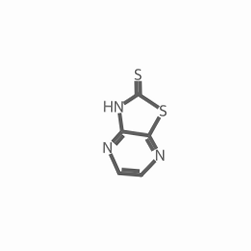 S=c1[nH]c2nccnc2s1